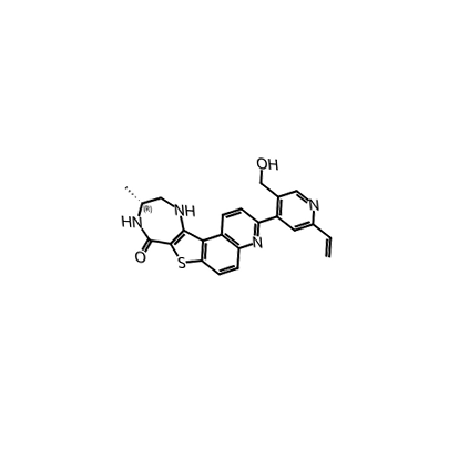 C=Cc1cc(-c2ccc3c(ccc4sc5c(c43)NC[C@@H](C)NC5=O)n2)c(CO)cn1